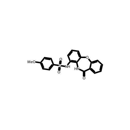 COc1ccc(S(=O)(=O)Nc2cccc3c2NC(=O)c2ccccc2O3)cc1